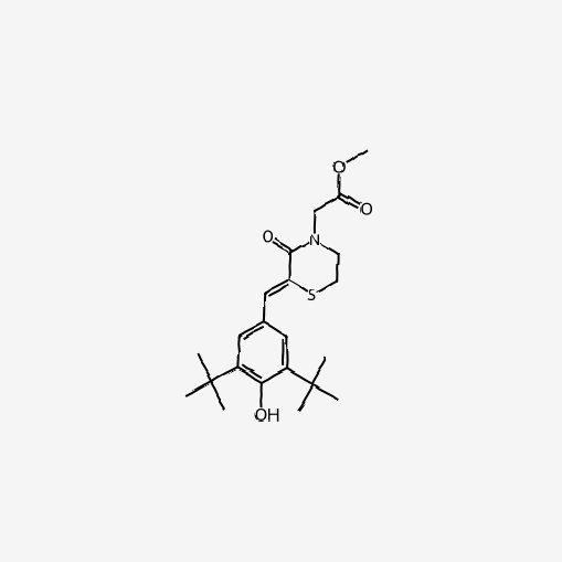 COC(=O)CN1CCSC(=Cc2cc(C(C)(C)C)c(O)c(C(C)(C)C)c2)C1=O